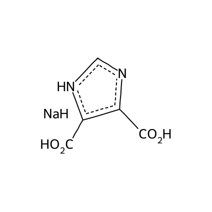 O=C(O)c1nc[nH]c1C(=O)O.[NaH]